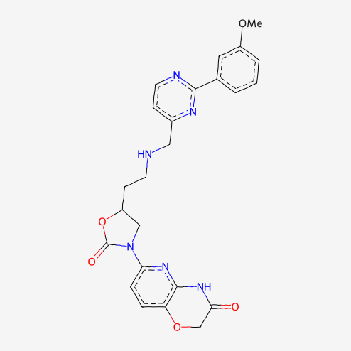 COc1cccc(-c2nccc(CNCCC3CN(c4ccc5c(n4)NC(=O)CO5)C(=O)O3)n2)c1